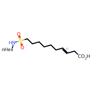 CCCCCCNS(=O)(=O)CCCCCC/C=C/CC(=O)O